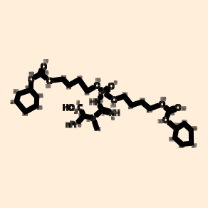 CCCC(C(=O)O)N(C)C(=N)NP(=O)(OCCCCOC(=O)OC1CCCCC1)OCCCCOC(=O)OC1CCCCC1